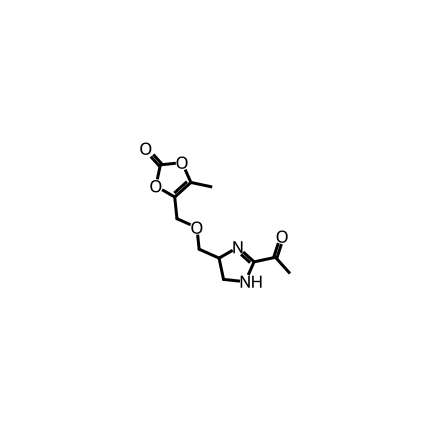 CC(=O)C1=NC(COCc2oc(=O)oc2C)CN1